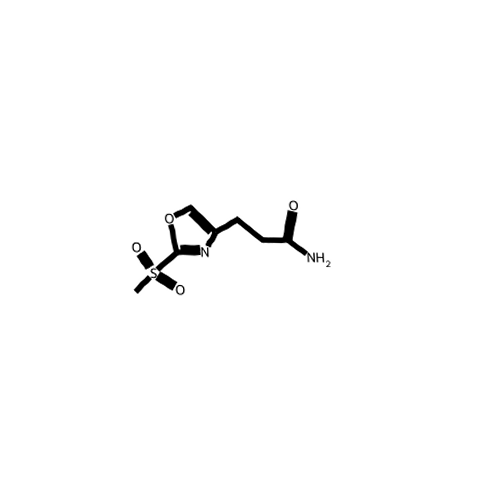 CS(=O)(=O)c1nc([CH]CC(N)=O)co1